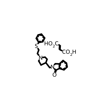 O=C(O)/C=C/C(=O)O.O=C1c2ccccc2CN1CC1CCN(CCSc2ccccc2)CC1